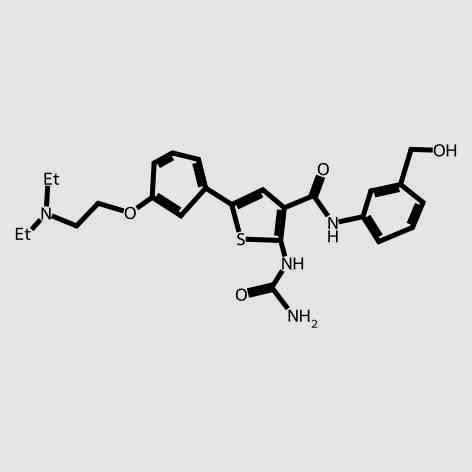 CCN(CC)CCOc1cccc(-c2cc(C(=O)Nc3cccc(CO)c3)c(NC(N)=O)s2)c1